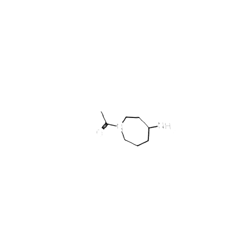 CC(=O)N1CCCC(N)CC1